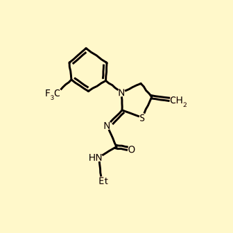 C=C1CN(c2cccc(C(F)(F)F)c2)/C(=N/C(=O)NCC)S1